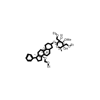 CCOCO[C@@]12CCC(c3ccccc3)[C@@]1(C)CC[C@@H]1[C@H]2CCC2CC(O[C@@H]3O[C@H](C)[C@](O)(COCC)[C@H](OC)[C@]3(O)COCC)CC[C@@]21C